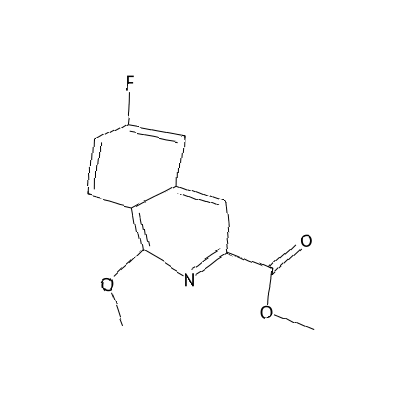 COC(=O)c1cc2cc(F)ccc2c(OC)n1